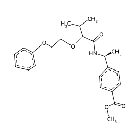 COC(=O)c1ccc([C@H](C)NC(=O)[C@H](OCCOc2ccccc2)C(C)C)cc1